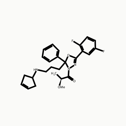 CO[C@@H](C)C(=O)N1N=C(c2cc(F)ccc2F)OC1(CCCNC1CC=CC1)c1ccccc1